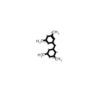 CC1=CC(CC2CC(C)CC(C)C2)CC(C)C1